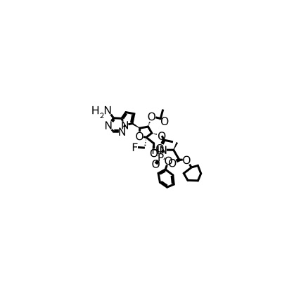 CC(=O)O[C@H]1[C@H](c2ccc3c(N)ncnn23)O[C@](CF)(COP(=O)(N[C@@H](C)C(=O)OC2CCCCC2)Oc2ccccc2)[C@H]1OC(C)=O